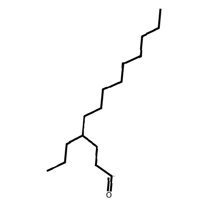 CCCCCCCCCC(CCC)CC[C]=O